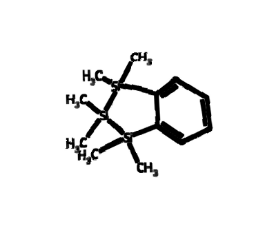 C[Si]1(C)c2ccccc2[Si](C)(C)[Si]1(C)C